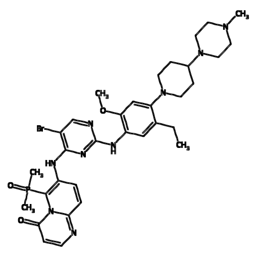 CCc1cc(Nc2ncc(Br)c(Nc3ccc4nccc(=O)n4c3P(C)(C)=O)n2)c(OC)cc1N1CCC(N2CCN(C)CC2)CC1